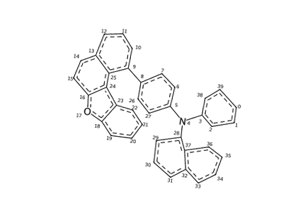 c1ccc(N(c2ccc(-c3cccc4ccc5oc6ccccc6c5c34)cc2)c2cccc3ccccc23)cc1